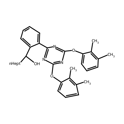 CCCCCCCC(O)c1ccccc1-c1nc(Oc2cccc(C)c2C)nc(Oc2cccc(C)c2C)n1